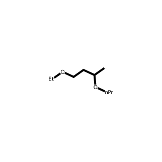 [CH2]C(CCOCC)OCCC